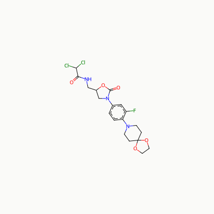 O=C(NCC1CN(c2ccc(N3CCC4(CC3)OCCO4)c(F)c2)C(=O)O1)C(Cl)Cl